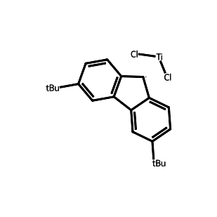 CC(C)(C)c1ccc2c(c1)-c1cc(C(C)(C)C)ccc1[CH]2.[Cl][Ti][Cl]